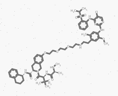 CN[C@@H](C)C(=O)N[C@H](C(=O)N1Cc2cc(OCCOCCOCCNCCc3cc(OC)c(Nc4ncc(Cl)c(Nc5ccccc5S(=O)(=O)C(C)C)n4)cc3C)ccc2C[C@H]1C(=O)N[C@@H]1CCCc2ccccc21)C(C)(C)C